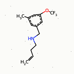 C=CCCNCc1cc(C)cc(OC(F)(F)F)c1